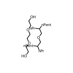 CCCCCC(CCC)COCC(CCC)CCCCC.OCCOCCOCCO